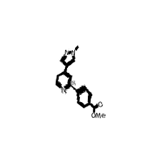 COC(=O)c1ccc([C@@H]2C=C(c3cnn(C)c3)CC=N2)cc1